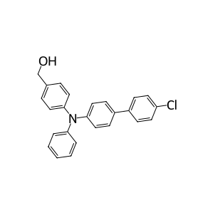 OCc1ccc(N(c2ccccc2)c2ccc(-c3ccc(Cl)cc3)cc2)cc1